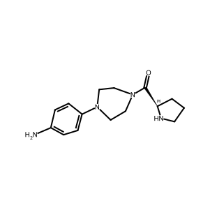 Nc1ccc(N2CCN(C(=O)[C@H]3CCCN3)CC2)cc1